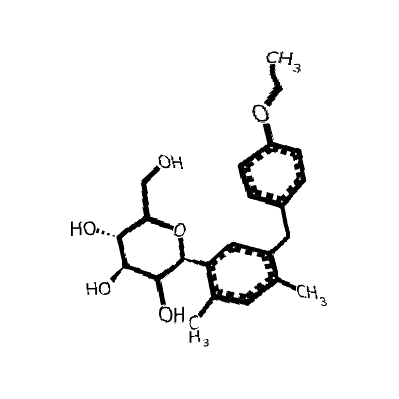 CCOc1ccc(Cc2cc([C@@H]3OC(CO)[C@@H](O)[C@H](O)C3O)c(C)cc2C)cc1